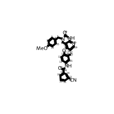 COc1ccc(CN2Cc3c(Oc4ccc(NC(=O)c5cccc(C#N)c5)cc4F)ccnc3NC2=O)cc1